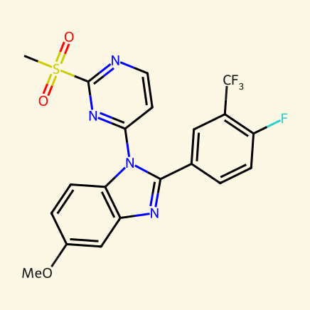 COc1ccc2c(c1)nc(-c1ccc(F)c(C(F)(F)F)c1)n2-c1ccnc(S(C)(=O)=O)n1